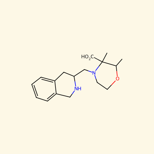 CC1OCCN(CC2Cc3ccccc3CN2)C1(C)C(=O)O